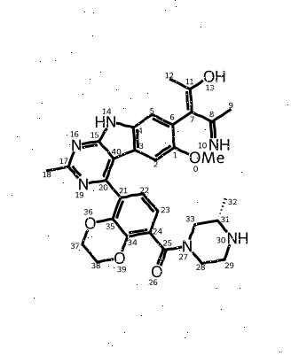 COc1cc2c(cc1/C(C(C)=N)=C(\C)O)[nH]c1nc(C)nc(-c3ccc(C(=O)N4CCN[C@@H](C)C4)c4c3OCCO4)c12